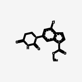 CC(C)(C)OC(=O)n1ccc2c(Cl)cc(N3CCC(=O)NC3=O)cc21